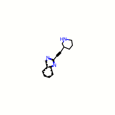 C(#CC1CCCNC1)c1n[c]c2ccccc2n1